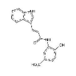 O=C(C=Cc1c[nH]c2ccccc12)Nc1cc(C(=O)O)ccc1O